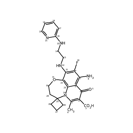 Cc1c(C(=O)O)c(=O)c2c(N)c(F)c(NCCNc3ccccn3)c3c2n1C1(CCC1)CCO3